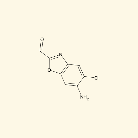 Nc1cc2oc(C=O)nc2cc1Cl